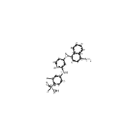 Cc1cc(Nc2cc(Oc3ccc(N)c4ccccc34)ccn2)ccc1P(C)(=O)O